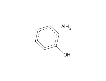 Oc1cc[c]cc1.[AlH3]